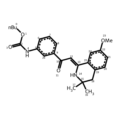 CCCCOC(=O)Nc1cccc(C(=O)C=C2NC(C)(C)Cc3ccc(OC)cc32)c1